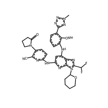 COc1c(Nc2cc(Nc3ccc(N4CCCC4=O)c(C#N)n3)nc3c2nc(C(F)F)n3C2CCCCO2)cccc1-c1nnn(C)n1